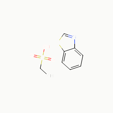 CCS(=O)(=O)O.c1ccc2scnc2c1